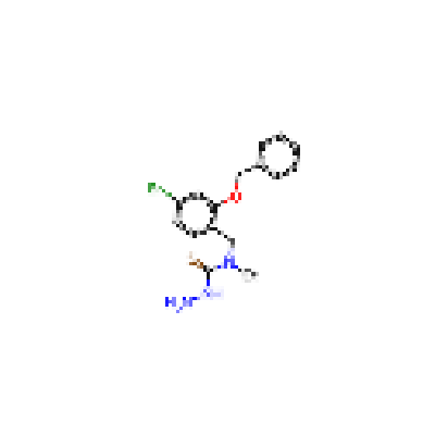 CCN(Cc1ccc(Br)cc1OCc1ccccc1)C(=S)NN